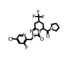 O=C(C1CC(C(F)(F)F)Cc2nn(Cc3ncc(Cl)cc3F)c(=O)n21)N1CCCC1